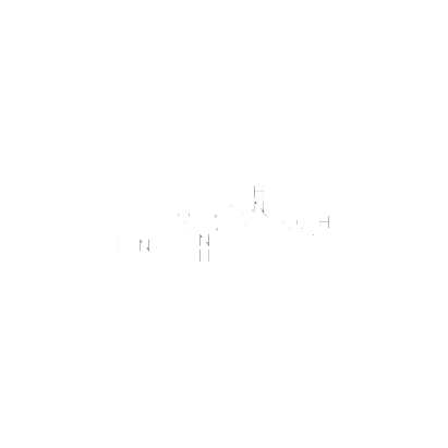 NCCC(=O)Nc1ccc2[nH]c(C(=O)O)cc2c1